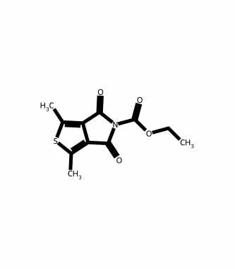 CCOC(=O)N1C(=O)c2c(C)sc(C)c2C1=O